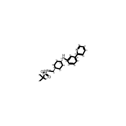 CC(C)(C)S(=O)(=O)NC[C@H]1CC[C@H](Nc2cccc(-c3ccccn3)c2)CC1